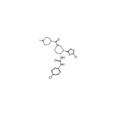 CN1CCC(C(=O)N2CC[C@@H](NC(=O)Nc3ccc(Cl)cc3)[C@H](c3ccc(Cl)s3)C2)CC1